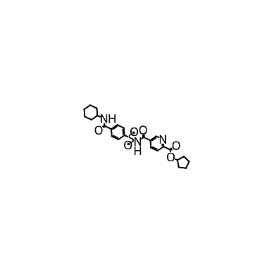 O=C(NC1CCCCC1)c1ccc(S(=O)(=O)NC(=O)c2ccc(C(=O)OC3CCCC3)nc2)cc1